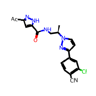 CC(=O)c1cc(C(=O)NC[C@@H](C)n2ccc(-c3ccc(C#N)c(Cl)c3)n2)[nH]n1